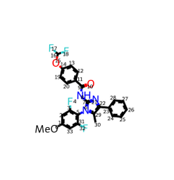 COc1cc(F)c(-n2c(NC(=O)c3ccc(OC(F)F)cc3)nc(-c3ccccc3)c2C)c(F)c1